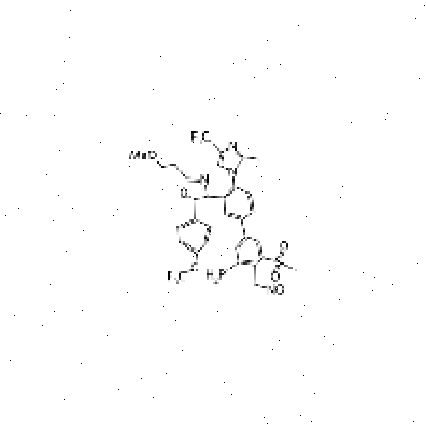 COCCC1=NC(c2cc(-c3cc(P)c(CN=O)c(S(C)(=O)=O)c3)ccc2-n2cc(C(F)(F)F)nc2C)C(c2ccc(OC(F)(F)F)cc2)O1